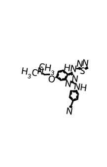 CN(C)CCOc1ccc2c(Nc3nncs3)nc(Nc3ccc(C#N)cc3)nc2c1